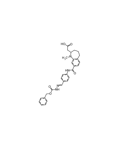 CN1c2cc(C(=O)Nc3ccc(C=NNC(=O)OCc4ccccc4)cc3)ccc2CCCC1CC(=O)O